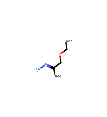 COCOCC(=NN)OC